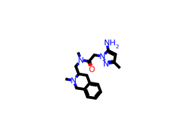 Cc1cc(N)n(CC(=O)N(C)CC2Cc3ccccc3CN2C)n1